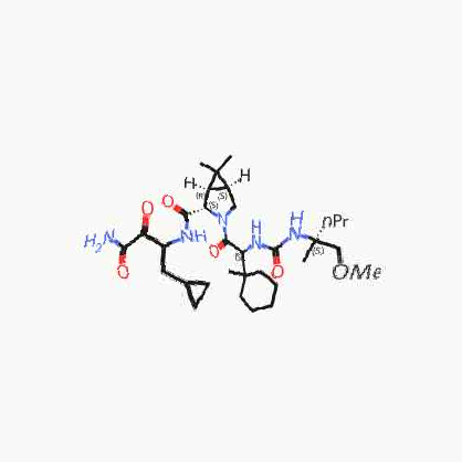 CCC[C@@](C)(COC)NC(=O)N[C@H](C(=O)N1C[C@H]2[C@@H]([C@H]1C(=O)NC(CC1CC1)C(=O)C(N)=O)C2(C)C)C1(C)CCCCC1